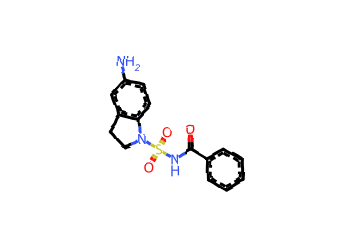 Nc1ccc2c(c1)CCN2S(=O)(=O)NC(=O)c1ccccc1